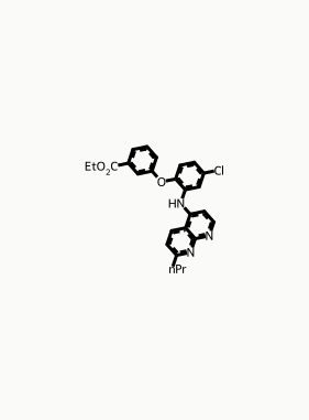 CCCc1ccc2c(Nc3cc(Cl)ccc3Oc3cccc(C(=O)OCC)c3)ccnc2n1